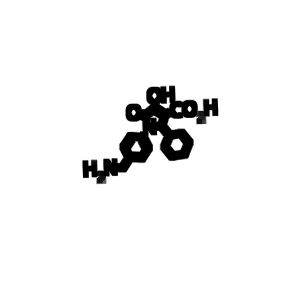 NCc1ccc(N2C(=O)C(O)=C(C(=O)O)C2C2CCCCC2)cc1